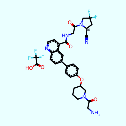 N#C[C@@H]1CC(F)(F)CN1C(=O)CNC(=O)c1ccnc2ccc(-c3ccc(OC4CCCN(C(=O)CN)C4)cc3)cc12.O=C(O)C(F)(F)F